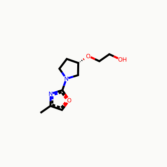 Cc1coc(N2CC[C@H](OCCO)C2)n1